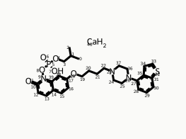 CC(C)COP(=O)(O)On1c(=O)ccc2ccc(OCCCCN3CCN(c4cccc5sccc45)CC3)cc21.[CaH2]